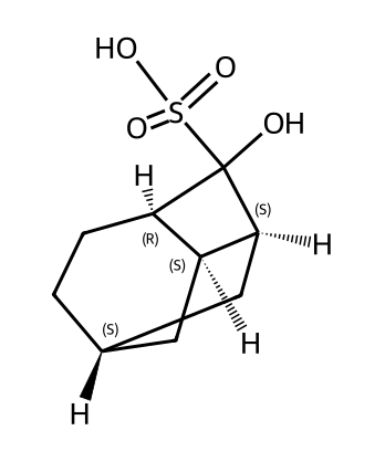 O=S(=O)(O)C1(O)[C@@H]2CC[C@H]3C[C@@H]2[C@@H]1C3